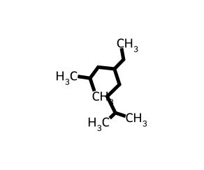 CCC(CCC(C)C)CC(C)C